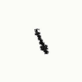 CC(C)Oc1ccc(-c2c3ccccc3c(-c3ccc4c(c3)C(C)(C)c3cc(-c5ccc6c(c5)C(C)(C)c5cc(-c7c8ccccc8c(-c8c9ccccc9c(-c9ccc%10c(c9)C(C)(C)c9ccccc9-%10)c9ccccc89)c8ccccc78)ccc5-6)ccc3-4)c3ccccc23)cc1